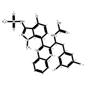 Cn1nc(NS(C)(=O)=O)c2c(Cl)ccc(-c3nc4ccccc4nc3C(Cc3cc(F)cc(F)c3)NC(=O)O)c21